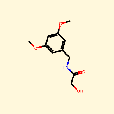 COc1cc(CNC(=O)CO)cc(OC)c1